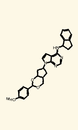 COc1ccc(C2OCC3CC(n4ccc5c(NC6CCc7ccccc76)ncnc54)CC3O2)cc1